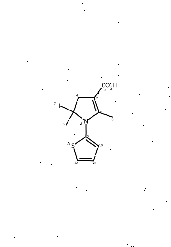 CC1=C(C(=O)O)CC(C)(I)N1c1cccs1